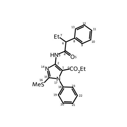 CCOC(=O)c1c(NC(=O)C(CC)c2ccccc2)nc(SC)n1-c1ccccc1